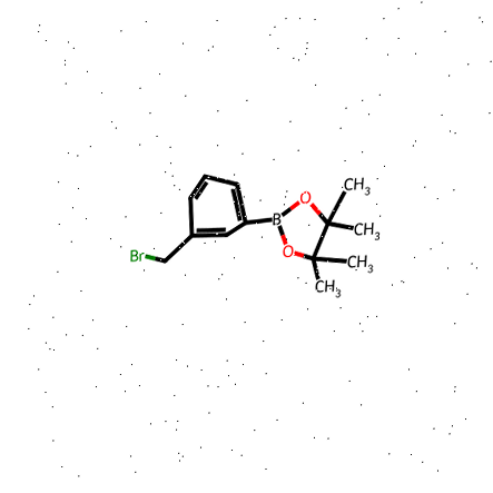 CC1(C)OB(c2cccc(CBr)c2)OC1(C)C